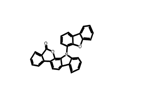 O=c1oc2c(ccc3c4ccccc4n(-c4cccc5c4oc4ccccc45)c32)c2ccccc12